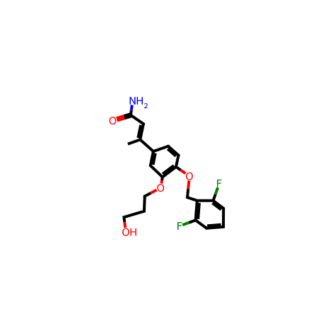 C/C(=C\C(N)=O)c1ccc(OCc2c(F)cccc2F)c(OCCCO)c1